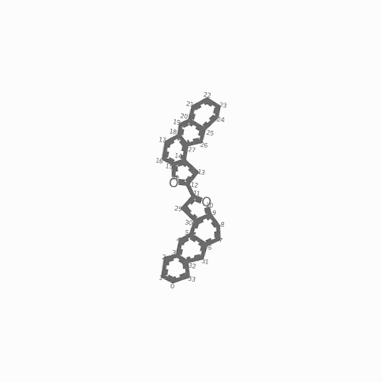 c1ccc2cc3c(ccc4oc(-c5cc6c(ccc7cc8ccccc8cc76)o5)cc43)cc2c1